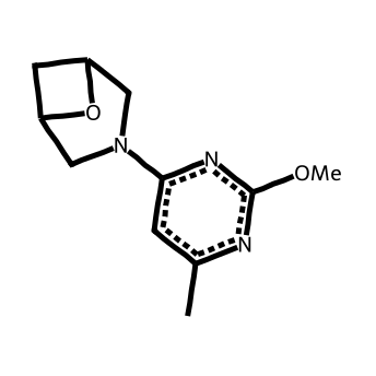 COc1nc(C)cc(N2CC3CC(C2)O3)n1